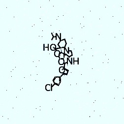 CC[C@]1(C(=O)O)C[C@H](N(C)C(C)C)CC[C@@H]1N1CCC(NC(=O)c2ccc(-c3ccc(Cl)cc3)o2)C1=O